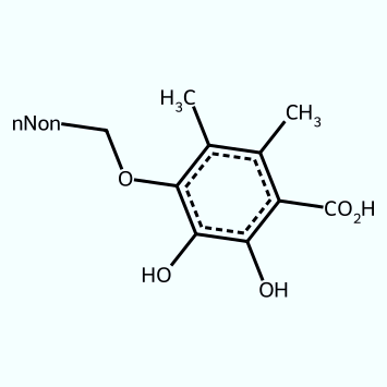 CCCCCCCCCCOc1c(C)c(C)c(C(=O)O)c(O)c1O